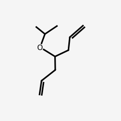 C=CCC(CC=C)OC(C)C